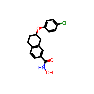 O=C(NO)c1ccc2c(c1)CC(Oc1ccc(Cl)cc1)CC2